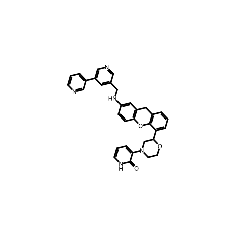 O=c1[nH]cccc1N1CCOC(c2cccc3c2Oc2ccc(NCc4cncc(-c5cccnc5)c4)cc2C3)C1